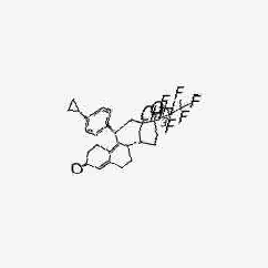 C[C@]12C[C@H](c3ccc(C4CC4)cc3)C3=C4CCC(=O)C=C4CCC3C1CC[C@@]2(O)C(F)(F)C(F)(F)F